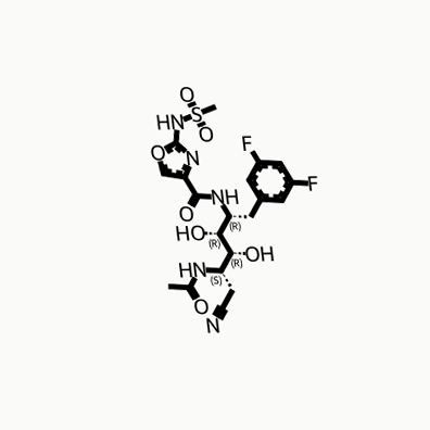 CC(=O)N[C@@H](CC#N)[C@@H](O)[C@H](O)[C@@H](Cc1cc(F)cc(F)c1)NC(=O)c1coc(NS(C)(=O)=O)n1